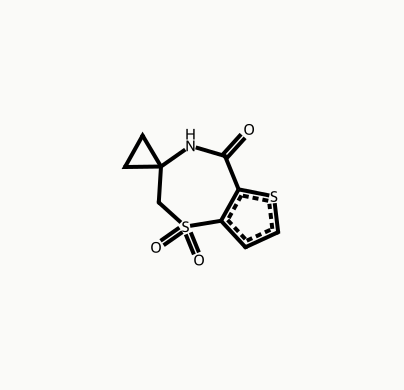 O=C1NC2(CC2)CS(=O)(=O)c2ccsc21